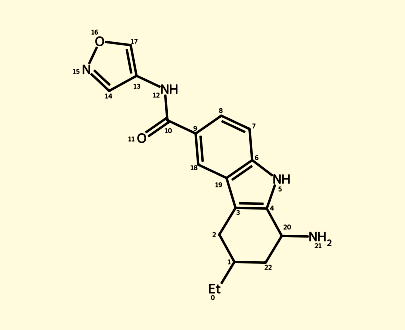 CCC1Cc2c([nH]c3ccc(C(=O)Nc4cnoc4)cc23)C(N)C1